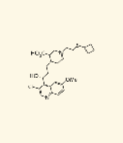 COc1ccc2ncc(Cl)c([C@H](O)CCC3CCN(CCSC4CCC4)CC3C(=O)O)c2c1